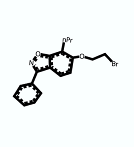 CCCc1c(OCCBr)ccc2c(-c3ccccc3)noc12